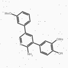 COc1cccc(-c2cnc(N)c(-c3ccc(O)c(OC)c3)c2)c1